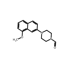 COc1cccc2ccc(N3CCN(C=O)CC3)cc12